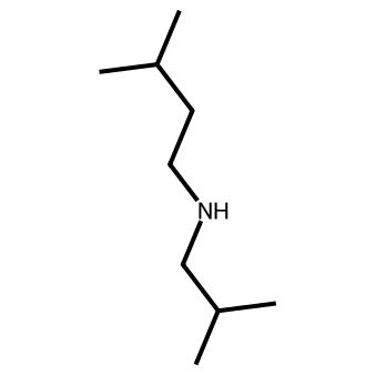 CC(C)CCNCC(C)C